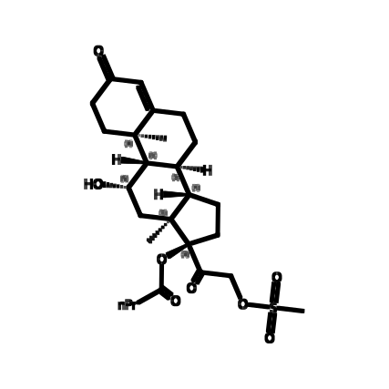 CCCC(=O)O[C@]1(C(=O)COS(C)(=O)=O)CC[C@H]2[C@@H]3CCC4=CC(=O)CC[C@]4(C)[C@H]3[C@@H](O)C[C@@]21C